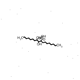 CCCCCCCCC(C(O)C(O)CCCCCCC)S(=O)(=O)O